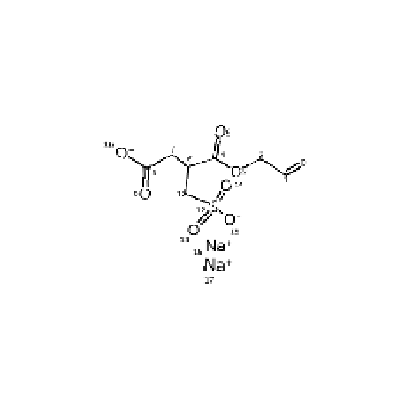 C=CCOC(=O)C(CC(=O)[O-])CS(=O)(=O)[O-].[Na+].[Na+]